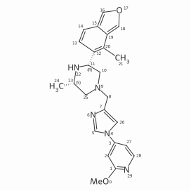 COc1cc(-n2cnc(CN3C[C@@H](c4ccc5cocc5c4C)N[C@@H](C)C3)c2)ccn1